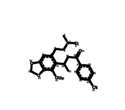 CCN(C)CCc1cc2c(c(OC)c1C(C)CC(=O)c1ccc(C#N)cc1)OCO2